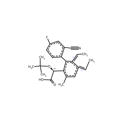 C/C=c1/cc(C)c([C@H](OC(C)(C)C)C(=O)O)c(-c2ccc(F)cc2C#N)/c1=C/C